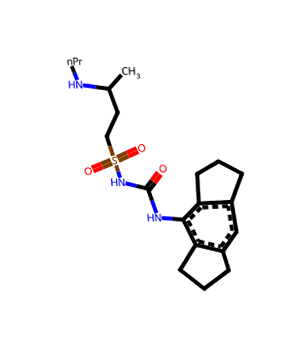 CCCNC(C)CCS(=O)(=O)NC(=O)Nc1c2c(cc3c1CCC3)CCC2